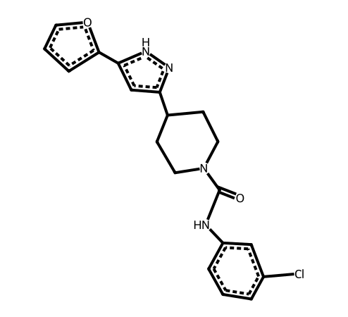 O=C(Nc1cccc(Cl)c1)N1CCC(c2cc(-c3ccco3)[nH]n2)CC1